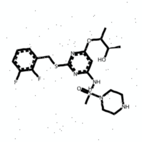 CC(Oc1cc(N[SH](C)(=O)N2CCNCC2)nc(SCc2cccc(F)c2F)n1)[C@@H](C)O